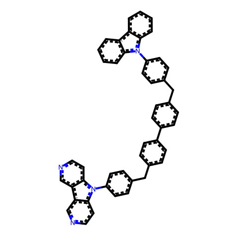 c1ccc2c(c1)c1ccccc1n2-c1ccc(Cc2ccc(-c3ccc(Cc4ccc(-n5c6ccncc6c6cnccc65)cc4)cc3)cc2)cc1